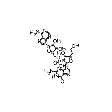 Nc1nc2c(ncn2[C@@H]2O[C@H](CCO)[C@@H](O)[C@H]2P(=O)(O)OC[C@H]2O[C@@H](n3cnc4c(N)ncnc43)[C@@H](O)[C@@H]2O)c(=O)[nH]1